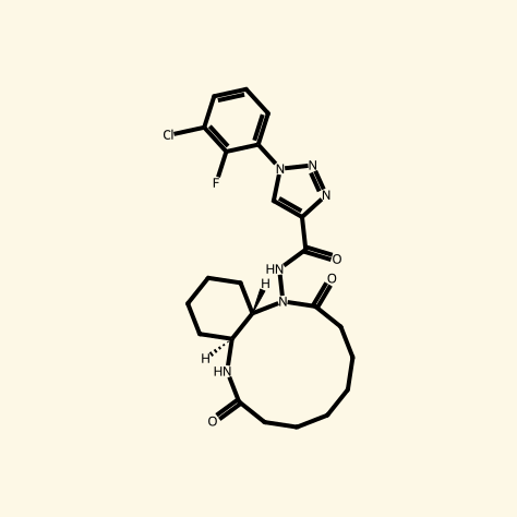 O=C1CCCCCCC(=O)N(NC(=O)c2cn(-c3cccc(Cl)c3F)nn2)[C@H]2CCCC[C@@H]2N1